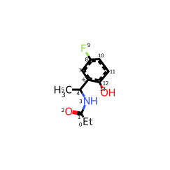 CCC(=O)NC(C)c1cc(F)ccc1O